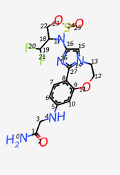 NC(=O)CNc1ccc2c(c1)OCCn1cc(N3C(C(F)F)COS3=O)nc1-2